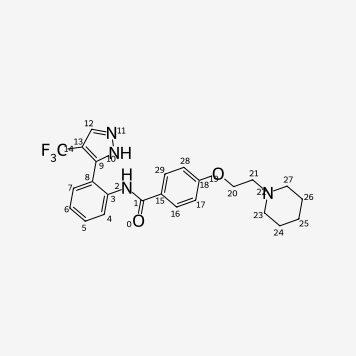 O=C(Nc1ccccc1-c1[nH]ncc1C(F)(F)F)c1ccc(OCCN2CCCCC2)cc1